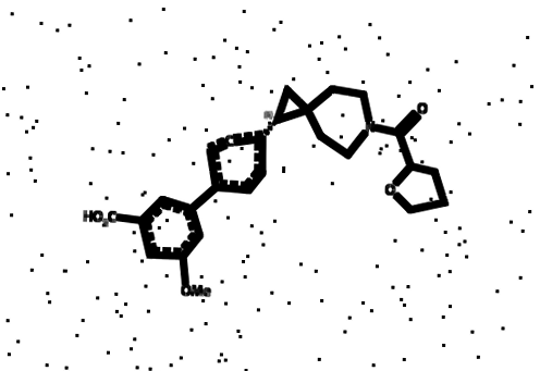 COc1cc(C(=O)O)cc(-c2ccc([C@@H]3CC34CCN(C(=O)C3CCCO3)CC4)cc2)c1